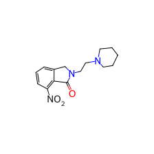 O=C1c2c(cccc2[N+](=O)[O-])CN1CCN1CCCCC1